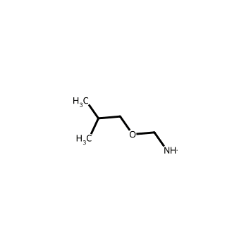 CC(C)COC[NH]